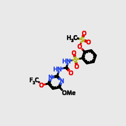 COc1cc(OC(F)(F)F)nc(NC(=O)NS(=O)(=O)c2ccccc2OS(C)(=O)=O)n1